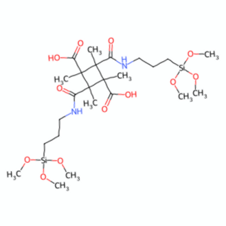 CO[Si](CCCNC(=O)C1(C)C(C)(C(=O)O)C(C)(C(=O)NCCC[Si](OC)(OC)OC)C1(C)C(=O)O)(OC)OC